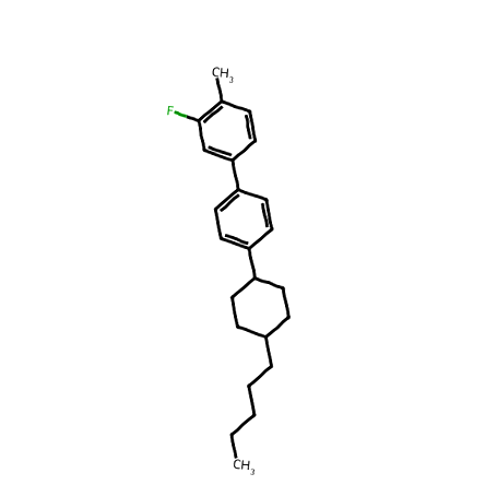 CCCCCC1CCC(c2ccc(-c3ccc(C)c(F)c3)cc2)CC1